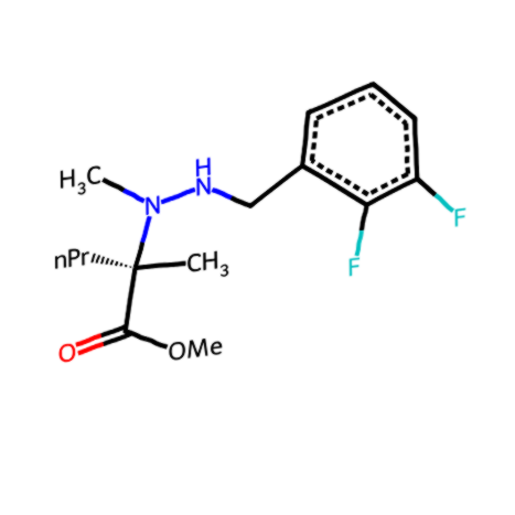 CCC[C@](C)(C(=O)OC)N(C)NCc1cccc(F)c1F